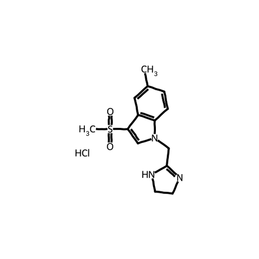 Cc1ccc2c(c1)c(S(C)(=O)=O)cn2CC1=NCCN1.Cl